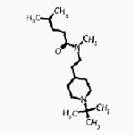 CC(C)CCC(=O)N(C)CCC1CCN(C(C)(C)C)CC1